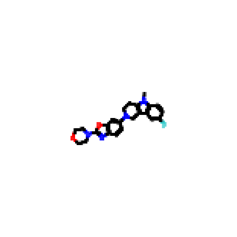 Cn1c2c(c3cc(F)ccc31)CN(c1ccc3nc(N4CCOCC4)oc3c1)CC2